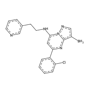 Bc1cnn2c(NCCc3cccnc3)cc(-c3ccccc3Cl)nc12